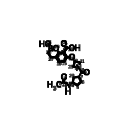 CC(=O)N[C@@H]1CC[C@H](C(=O)N2CC(Oc3ccc4c(c3C(=O)O)OB(O)CC4)C2)C1